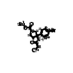 CC(C)(C)OC(=O)N1CCC(NC(=O)CCl)(c2ccc(Br)cc2)C1